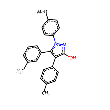 COc1ccc(-n2nc(O)c(-c3ccc(C)cc3)c2-c2cccc(C)c2)cc1